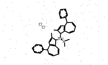 CC1=CC2=C(C=CC=CC2c2ccccc2)[CH]1[Zr+2]([CH]1C(C)=CC2=C1C=CC=CC2c1ccccc1)=[Si](C)C.[Cl-].[Cl-]